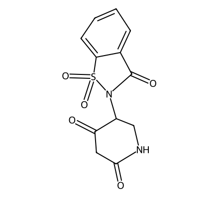 O=C1CC(=O)C(N2C(=O)c3ccccc3S2(=O)=O)CN1